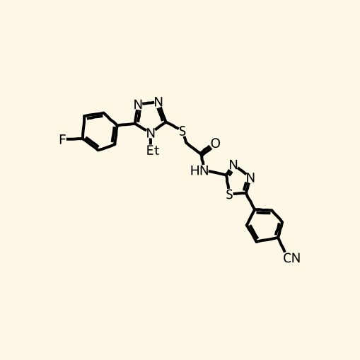 CCn1c(SCC(=O)Nc2nnc(-c3ccc(C#N)cc3)s2)nnc1-c1ccc(F)cc1